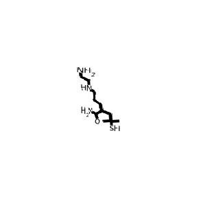 CC(C)(S)CC(CCCNCCN)C(N)=O